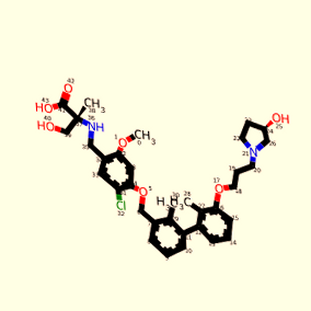 COc1cc(OCc2cccc(-c3cccc(OCCCN4CC[C@@H](O)C4)c3C)c2C)c(Cl)cc1CN[C@](C)(CO)C(=O)O